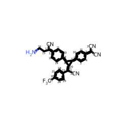 N#CC(C#N)=c1ccc(=C2C(=c3ccc(=C(C#N)CCN)cc3)/C2=C(/C#N)c2ccc(C(F)(F)F)cc2)cc1